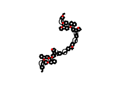 C=Cc1ccc(OCCC2(c3ccccc3)c3ccccc3-c3ccc(N(c4ccc5c(c4)c4ccccc4n5-c4ccc(COCc5ccc6c(c5)C(C)(C)c5cc(COCc7ccc(-n8c9ccccc9c9cc(N(c%10ccc%11c(c%10)C(CCOc%10ccc(C=C)cc%10)(c%10ccccc%10)c%10ccccc%10-%11)c%10cccc%11ccccc%10%11)ccc98)cc7)ccc5-6)cc4)c4cccc5ccccc45)cc32)cc1